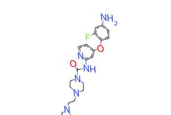 Nc1ccc(Oc2ccnc(NC(=O)N3CCN(CCN4CCC4)CC3)c2)c(F)c1